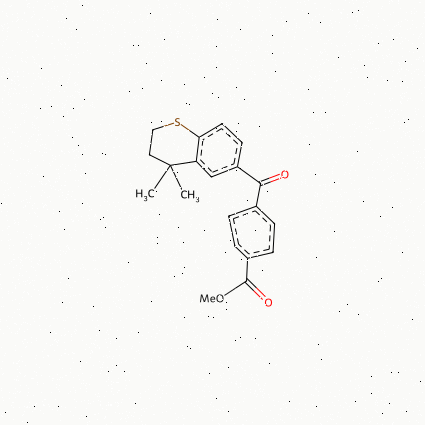 COC(=O)c1ccc(C(=O)c2ccc3c(c2)C(C)(C)CCS3)cc1